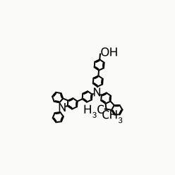 CC1(C)c2ccccc2-c2ccc(N(c3ccc(-c4ccc(CO)cc4)cc3)c3ccc(-c4ccc5c(c4)c4ccccc4n5-c4ccccc4)cc3)cc21